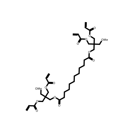 C=CC(=O)OCC(COC)(COC(=O)C=C)COC(=O)CCCCCCCCCCC(=O)OCC(COC)(COC(=O)C=C)COC(=O)C=C